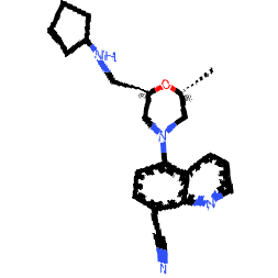 C[C@@H]1CN(c2ccc(C#N)c3ncccc23)C[C@@H](CNC2CCCC2)O1